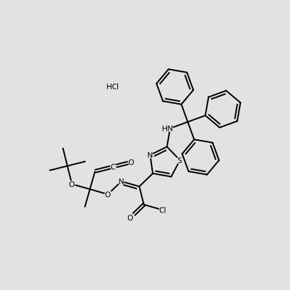 CC(C)(C)OC(C)(C=C=O)ON=C(C(=O)Cl)c1csc(NC(c2ccccc2)(c2ccccc2)c2ccccc2)n1.Cl